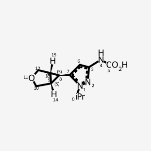 CC(C)n1nc(NC(=O)O)cc1[C@H]1[C@@H]2COC[C@@H]21